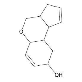 OC1C=CC2OCC3CC=CC3C2C1